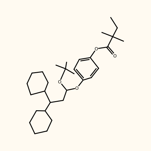 CCC(C)(C)C(=O)Oc1ccc(OC(CC(C2CCCCC2)C2CCCCC2)OC(C)(C)C)cc1